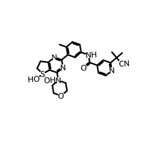 Cc1ccc(NC(=O)c2ccnc(C(C)(C)C#N)c2)cc1-c1nc2c(c(N3CCOCC3)n1)S(O)(O)CC2